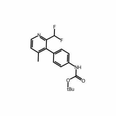 Cc1ccnc(C(F)F)c1-c1ccc(NC(=O)OC(C)(C)C)cc1